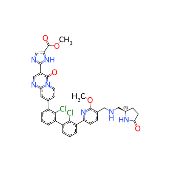 COC(=O)c1cnc(-c2cnc3cc(-c4cccc(-c5cccc(-c6ccc(CNC[C@H]7CCC(=O)N7)c(OC)n6)c5Cl)c4Cl)ccn3c2=O)[nH]1